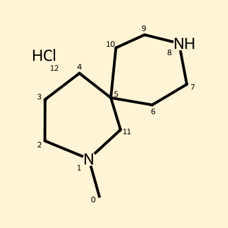 CN1CCCC2(CCNCC2)C1.Cl